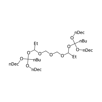 CCCCCCCCCCOC(CCCC)(OCCCCCCCCCC)OC(CC)OCOCOC(CC)OC(CCCC)(OCCCCCCCCCC)OCCCCCCCCCC